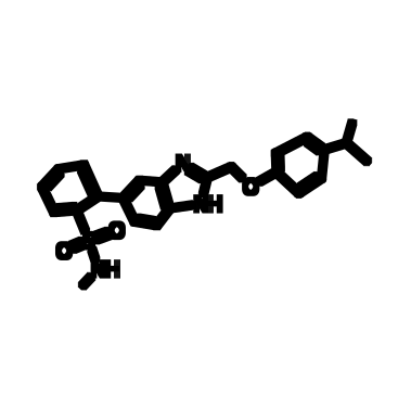 CNS(=O)(=O)c1ccccc1-c1ccc2[nH]c(COc3ccc(C(C)C)cc3)nc2c1